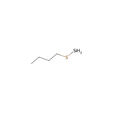 CCCCS[SiH3]